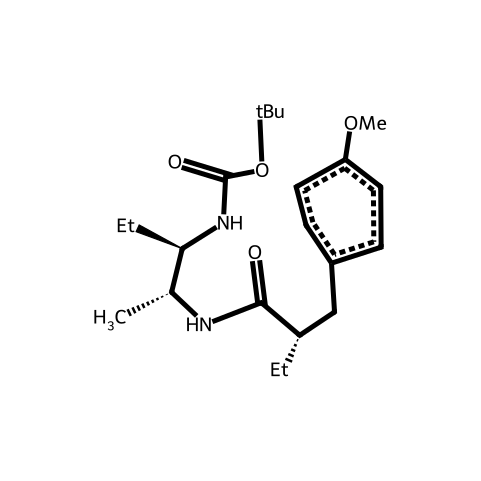 CC[C@@H](Cc1ccc(OC)cc1)C(=O)N[C@H](C)[C@@H](CC)NC(=O)OC(C)(C)C